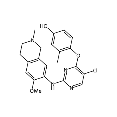 COc1cc2c(cc1Nc1ncc(Cl)c(Oc3ccc(O)cc3C)n1)CN(C)CC2